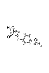 COc1ccc(CC2CN(C)C2=O)cc1